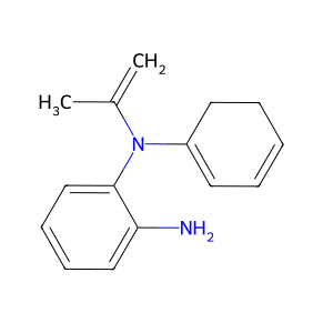 C=C(C)N(C1=CC=CCC1)c1ccccc1N